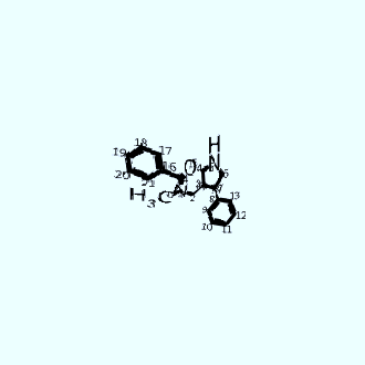 CN(C[C@H]1CNC[C@H]1c1ccccc1)C(=O)c1ccccc1